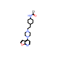 CCC(=O)NC1CCC(CCN2CCN(c3ccnc4occc34)CC2)CC1